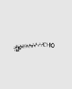 O=CCCCCCCCCCCCCCCCC1CCCCC1